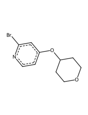 Brc1cc(OC2CCOCC2)ccn1